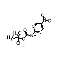 CC(C)(C)OC(=O)Nc1ncc([N+](=O)[O-])cn1